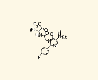 CCNc1cnc(-c2ccc(F)cc2)n(CC(=O)NC(C(=O)C(F)(F)F)C(C)C)c1=O